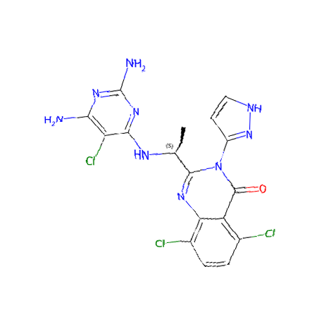 C[C@H](Nc1nc(N)nc(N)c1Cl)c1nc2c(Cl)ccc(Cl)c2c(=O)n1-c1cc[nH]n1